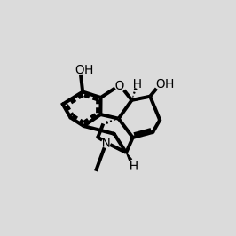 CN1CC[C@@]23C4=CCC(O)[C@@H]2Oc2c(O)ccc(c23)C[C@H]41